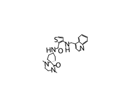 CN1CCN(C)[C@]2(CC[C@@H](NC(=O)c3sccc3NCc3ccnc4ccccc34)CC2)C1=O